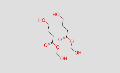 O=C(CCCO)OCO.O=C(CCCO)OCO